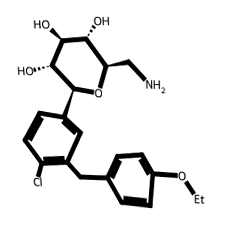 CCOc1ccc(Cc2cc([C@@H]3O[C@H](CN)[C@@H](O)[C@H](O)[C@H]3O)ccc2Cl)cc1